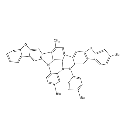 Cc1cc2c3c4c1c1cc5oc6ccccc6c5cc1n4-c1ccc(C(C)(C)C)cc1B3N(c1ccc(C(C)(C)C)cc1)c1cc3c(cc1-2)oc1cc(C(C)(C)C)ccc13